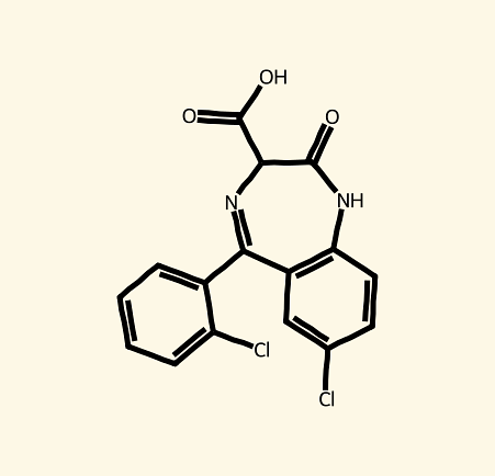 O=C(O)C1N=C(c2ccccc2Cl)c2cc(Cl)ccc2NC1=O